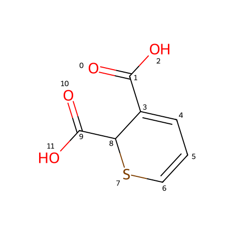 O=C(O)C1=CC=CSC1C(=O)O